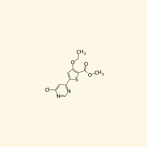 CCOc1cc(-c2cc(Cl)ncn2)sc1C(=O)OC